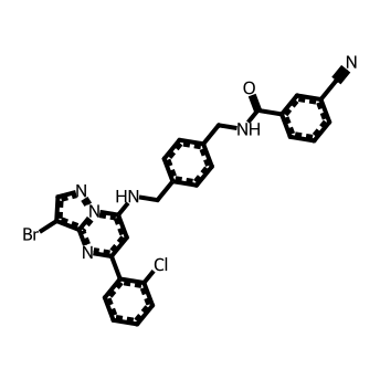 N#Cc1cccc(C(=O)NCc2ccc(CNc3cc(-c4ccccc4Cl)nc4c(Br)cnn34)cc2)c1